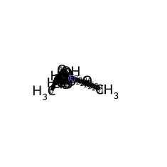 CC#CCOc1ccc(C[C@H](NC(=O)C(/C=C/CCCCCCC(=O)CCCCCCC)C(CC(=O)O)C(=O)O)C(=O)O)cc1